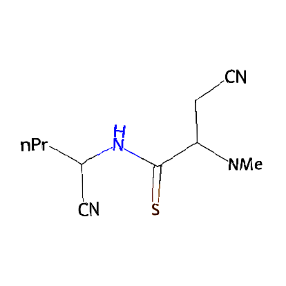 CCCC(C#N)NC(=S)C(CC#N)NC